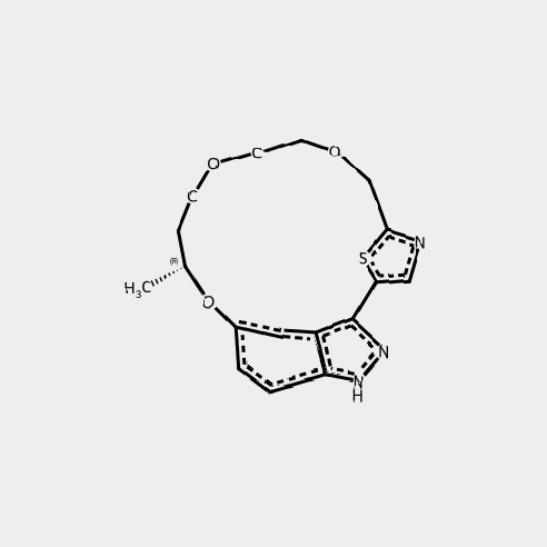 C[C@@H]1CCOCCOCc2ncc(s2)-c2n[nH]c3ccc(cc23)O1